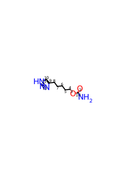 NC(=O)OCCCCCc1c[nH]nn1